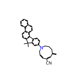 C=C1/C=C(C#N)\C=C/CN(c2ccc3c(c2)C(C)(C)c2ccc4c(ccc5ccccc54)c2-3)CCC1